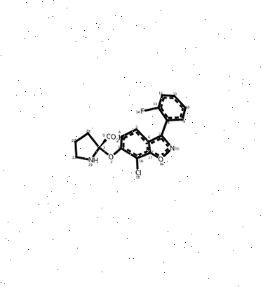 O=C(O)[C@]1(Oc2ccc3c(-c4ccccc4F)noc3c2Cl)CCCN1